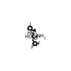 NC(=O)O[C@@H](Cc1cc(F)cc(F)c1)[C@H](O)CNC1(c2cccc(I)c2)CC1